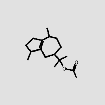 CC(=O)OC(C)(C)C1CCC(C)C2=C(C1)C(C)CC2